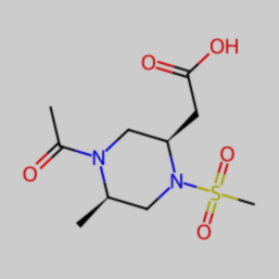 CC(=O)N1C[C@@H](CC(=O)O)N(S(C)(=O)=O)C[C@H]1C